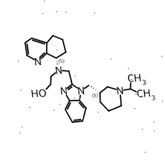 CC(C)N1CCC[C@H](Cn2c(CN(CCO)[C@H]3CCCc4cccnc43)nc3ccccc32)C1